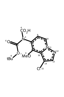 COc1c(N(C(=O)O)C(=O)OC(C)(C)C)ccn2ncc(Cl)c12